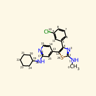 CNc1nc(-c2cccc(Cl)c2)c(-c2ccnc(NC3CCCCC3)c2)s1